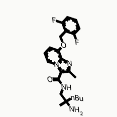 CCCCC(C)(N)CNC(=O)c1c(C)nc2c(OCc3c(F)cccc3F)cccn12